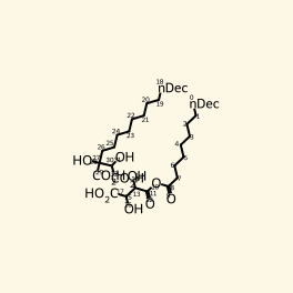 CCCCCCCCCCCCCCCCCC(=O)OC(=O)C(O)C(O)C(=O)O.CCCCCCCCCCCCCCCCCCC(O)(C(=O)O)C(O)C(=O)O